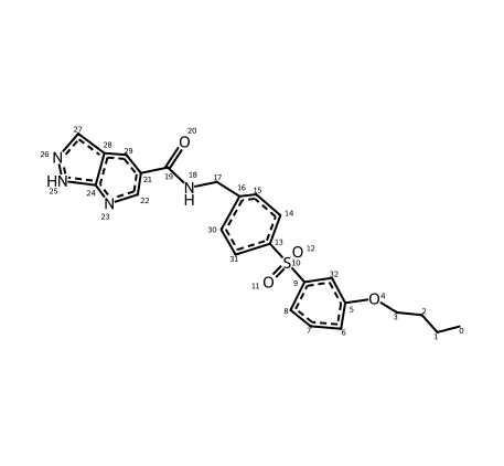 CCCCOc1cccc(S(=O)(=O)c2ccc(CNC(=O)c3cnc4[nH]ncc4c3)cc2)c1